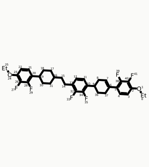 CCOc1ccc(C2=CCC(c3ccc(CCC4CCC(c5ccc(OCC)c(F)c5F)CC4)c(F)c3F)CC2)c(F)c1F